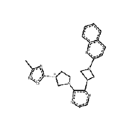 Cc1noc([C@@H]2CCN(c3nccnc3C3CN(c4ccc5ccccc5n4)C3)C2)n1